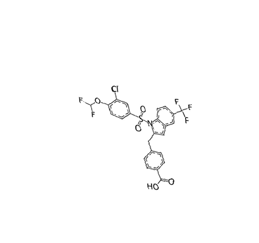 O=C(O)c1ccc(Cc2cc3cc(C(F)(F)F)ccc3n2S(=O)(=O)c2ccc(OC(F)F)c(Cl)c2)cc1